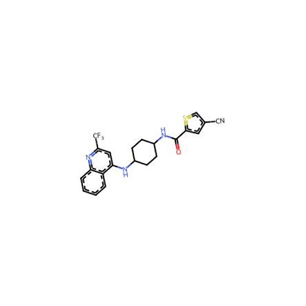 N#Cc1csc(C(=O)NC2CCC(Nc3cc(C(F)(F)F)nc4ccccc34)CC2)c1